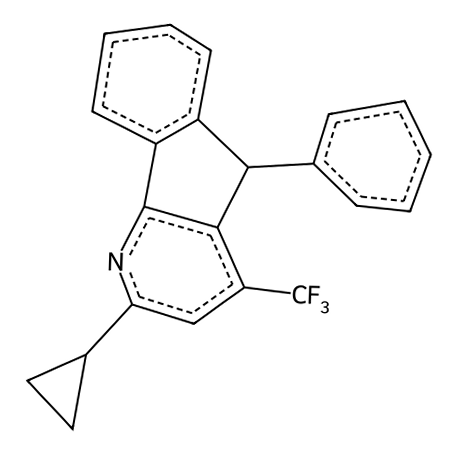 FC(F)(F)c1cc(C2CC2)nc2c1C(c1ccccc1)c1ccccc1-2